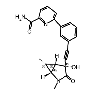 C[C@H]1[C@@H]2[C@H]1[C@@](O)(C#Cc1cccc(-c3cccc(C(N)=O)n3)c1)C(=O)N2C